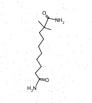 CC(C)(CCCCCCCC(N)=O)C(N)=O